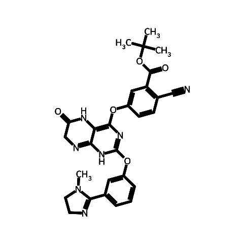 CN1CCN=C1c1cccc(OC2=NC(Oc3ccc(C#N)c(C(=O)OC(C)(C)C)c3)=C3NC(=O)CN=C3N2)c1